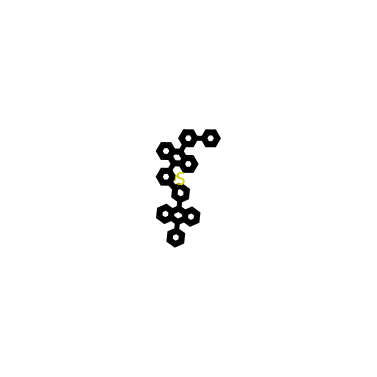 c1ccc(-c2cccc(-c3c4ccccc4c(-c4cccc5c4sc4ccc(-c6c7ccccc7c(-c7ccccc7)c7ccccc67)cc45)c4ccccc34)c2)cc1